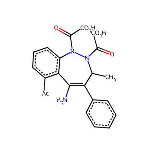 CC(=O)c1cccc2c1C(N)=C(c1ccccc1)C(C)N(C(=O)C(=O)O)N2C(=O)C(=O)O